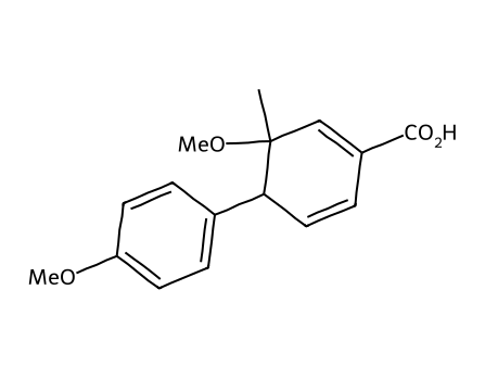 COc1ccc(C2C=CC(C(=O)O)=CC2(C)OC)cc1